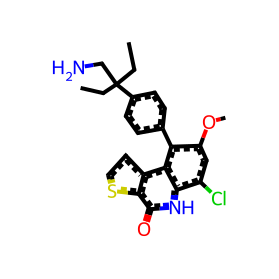 CCC(CC)(CN)c1ccc(-c2c(OC)cc(Cl)c3[nH]c(=O)c4sccc4c23)cc1